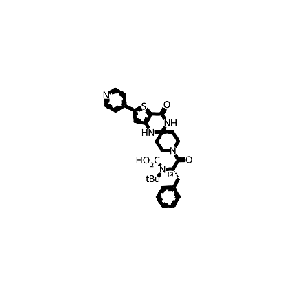 CC(C)(C)N(C(=O)O)[C@@H](Cc1ccccc1)C(=O)N1CCC2(CC1)NC(=O)c1sc(-c3ccncc3)cc1N2